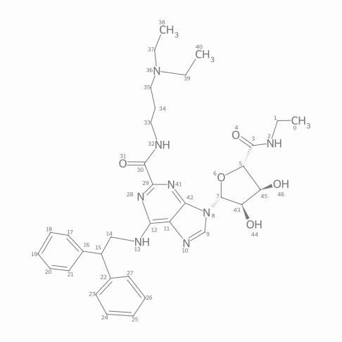 CCNC(=O)[C@H]1O[C@@H](n2cnc3c(NCC(c4ccccc4)c4ccccc4)nc(C(=O)NCCCN(CC)CC)nc32)[C@H](O)[C@@H]1O